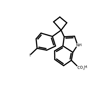 O=C(O)c1cccc2c(C3(c4ccc(I)cc4)CCC3)c[nH]c12